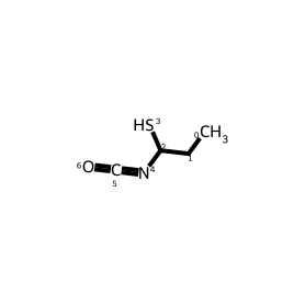 CCC(S)N=C=O